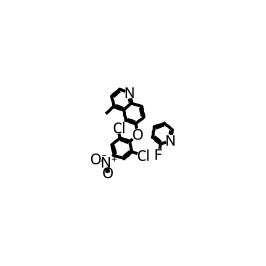 Cc1ccnc2ccc(Oc3c(Cl)cc([N+](=O)[O-])cc3Cl)cc12.Fc1ccccn1